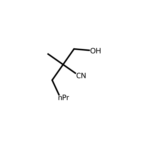 CCCCC(C)(C#N)CO